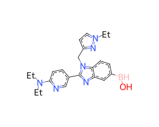 CCN(CC)c1ccc(-c2nc3cc(BO)ccc3n2Cc2ccn(CC)n2)cn1